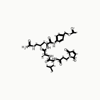 CC(=O)OCc1ccc(NC(=O)[C@H](CCCNC(N)=O)NC(=O)[C@H](C)NC(=O)[C@@H](CC(C)C)NC(=O)CCN2C(=O)C=CC2=O)cc1